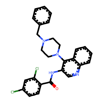 O=C(Nc1cnc2ccccc2c1N1CCN(Cc2ccccc2)CC1)c1ccc(Cl)cc1Cl